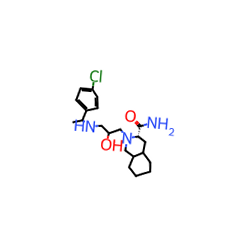 CC(NCC(O)CN1CC2CCCCC2C[C@H]1C(N)=O)c1ccc(Cl)cc1